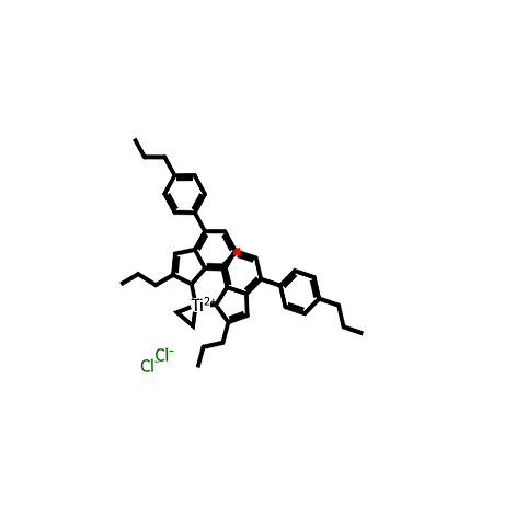 CCCC1=Cc2c(-c3ccc(CCC)cc3)cccc2[CH]1[Ti+2]1([CH]2C(CCC)=Cc3c(-c4ccc(CCC)cc4)cccc32)[CH2][CH2]1.[Cl-].[Cl-]